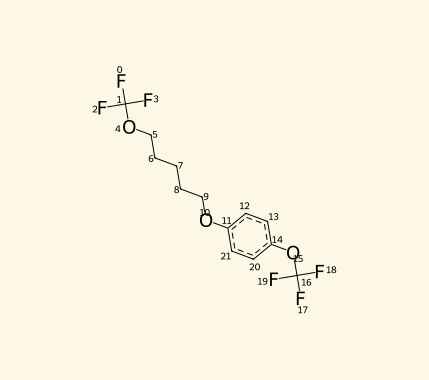 FC(F)(F)OCCCCCOc1ccc(OC(F)(F)F)cc1